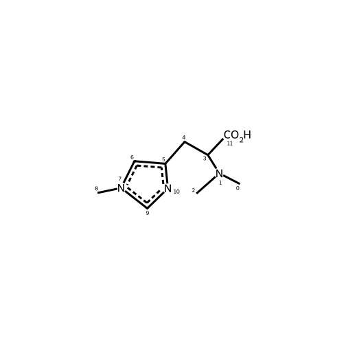 CN(C)C(Cc1cn(C)cn1)C(=O)O